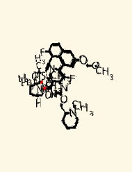 COCOc1cc(-c2ncc3c(N4C[C@H]5CC[C@@H](C4)N5C(=O)O)nc(OC[C@@H]4CCCCN4C)nc3c2F)c2c(C#C[Si](C(C)C)(C(C)C)C(C)C)c(F)ccc2c1